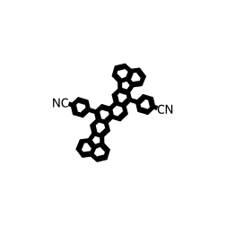 N#Cc1ccc(-c2cc3c4cc5c(c(-c6ccc(C#N)cc6)c4ccc3c3cc4c(cc23)-c2cccc3cccc-4c23)-c2cccc3cccc-5c23)cc1